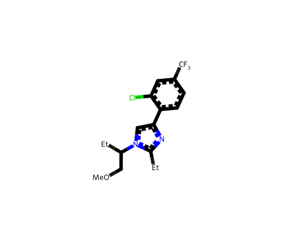 CCc1nc(-c2ccc(C(F)(F)F)cc2Cl)cn1C(CC)COC